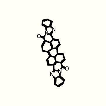 O=c1c2c3c(c4nc5ccccc5n14)C=CC1=C4CC=c5c(=O)n6c7ccccc7nc6c6ccc(c4c56)C(=CC=2)C13